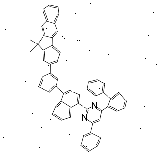 CC1(C)c2cc(-c3cccc(-c4ccc(-c5nc(-c6ccccc6)cc(-c6ccccc6-c6ccccc6)n5)c5ccccc45)c3)ccc2-c2cc3ccccc3cc21